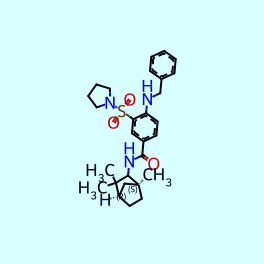 CC1(C)C(NC(=O)c2ccc(NCc3ccccc3)c(S(=O)(=O)N3CCCC3)c2)[C@@]2(C)CC[C@@H]1C2